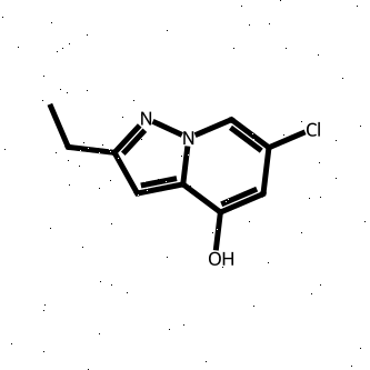 CCc1cc2c(O)cc(Cl)cn2n1